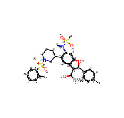 CNC(=O)c1c(-c2ccc(C)cc2)oc2cc(N(C)S(C)(=O)=O)c(C3CCCN(S(=O)(=O)c4ccccc4C)C3)cc12